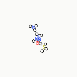 c1ccc(-c2nc(-n3c4ccccc4c4cc(-c5ccc6c(c5)c5ccccc5n6-c5ccccc5)ccc43)nc3c2oc2ccc(-c4cccc5c4sc4c(-c6ccccc6)cccc45)cc23)cc1